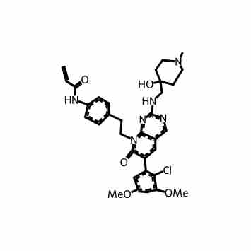 C=CC(=O)Nc1ccc(CCn2c(=O)c(-c3cc(OC)cc(OC)c3Cl)cc3cnc(NCC4(O)CCN(C)CC4)nc32)cc1